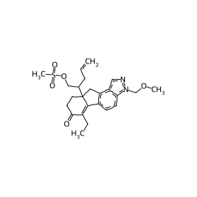 C=CCC(COS(C)(=O)=O)C12CCC(=O)C(CC)=C1c1ccc3c(cnn3COC)c1C2